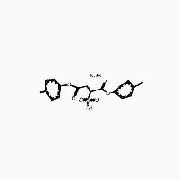 Cc1ccc(OC(=O)CC(C(=O)Oc2ccc(C)cc2)S(=O)(=O)O)cc1.[NaH]